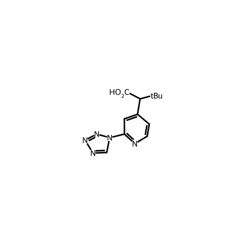 CC(C)(C)C(C(=O)O)c1ccnc(-n2cnnn2)c1